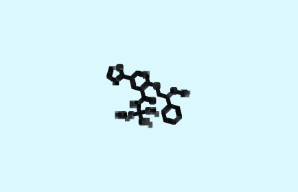 CC(C)OC(COc1ncc(-c2ncco2)cc1C(=O)NC(C)(C)C(=O)O)c1ccccc1